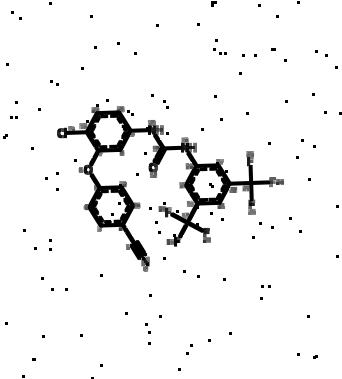 N#Cc1ccc(Oc2cc(NC(=O)Nc3cc(C(F)(F)F)cc(C(F)(F)F)c3)ccc2Cl)cc1